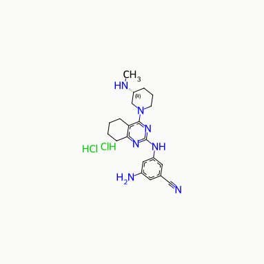 CN[C@@H]1CCCN(c2nc(Nc3cc(N)cc(C#N)c3)nc3c2CCCC3)C1.Cl.Cl